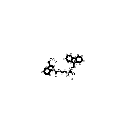 CN(CCOC(=O)n1cc(CC(=O)O)c2ccccc21)C(=O)OCC1c2ccccc2-c2ccccc21